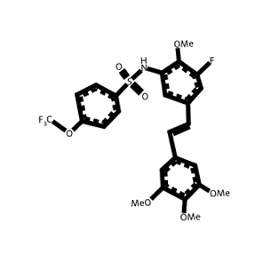 COc1cc(C=Cc2cc(F)c(OC)c(NS(=O)(=O)c3ccc(OC(F)(F)F)cc3)c2)cc(OC)c1OC